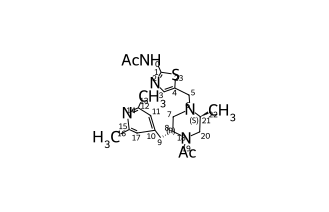 CC(=O)Nc1ncc(CN2C[C@@H](Cc3cc(C)nc(C)c3)N(C(C)=O)C[C@@H]2C)s1